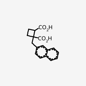 O=C(O)C1CCC1(Cc1ccc2ccccc2c1)C(=O)O